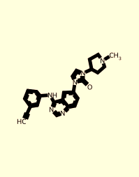 C#Cc1cccc(Nc2ncnc3ccc(-n4ccn(C5CCN(C)CC5)c4=O)cc23)c1